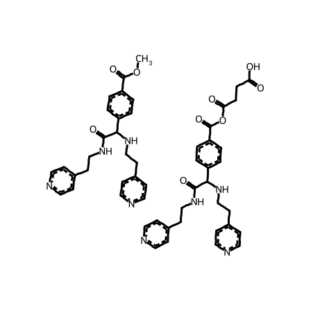 COC(=O)c1ccc(C(NCCc2ccncc2)C(=O)NCCc2ccncc2)cc1.O=C(O)CCC(=O)OC(=O)c1ccc(C(NCCc2ccncc2)C(=O)NCCc2ccncc2)cc1